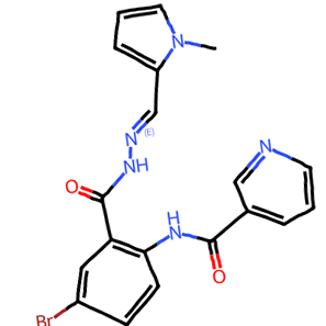 Cn1cccc1/C=N/NC(=O)c1cc(Br)ccc1NC(=O)c1cccnc1